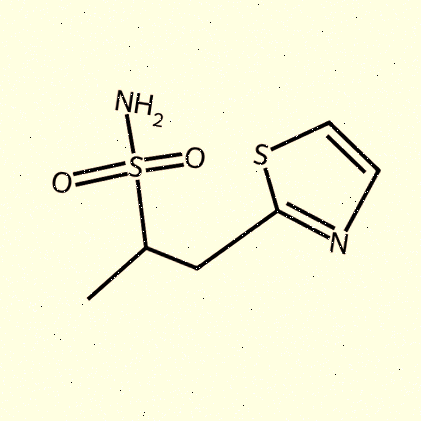 CC(Cc1nccs1)S(N)(=O)=O